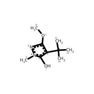 COc1nn(C)c(O)c1C(C)(C)C